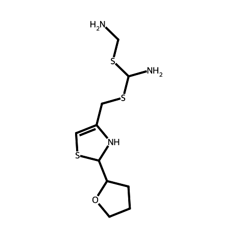 NCSC(N)SCC1=CSC(C2CCCO2)N1